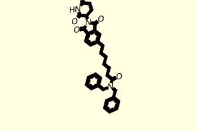 O=C1CCC(N2C(=O)c3ccc(CCCCCCC(=O)N(Cc4ccccc4)Cc4ccccc4)cc3C2=O)C(=O)N1